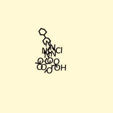 CC(=O)O[C@@H]1[C@H](OC(C)=O)[C@@H](C(C)C(=O)O)O[C@H]1n1cnc2c(N3CCC(C4CCCCC4)CC3)nc(Cl)nc21